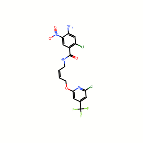 Nc1cc(Cl)c(C(=O)NC/C=C\COc2cc(C(F)(F)F)cc(Cl)n2)cc1[N+](=O)[O-]